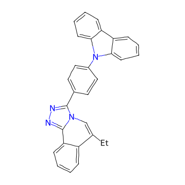 CCc1cn2c(-c3ccc(-n4c5ccccc5c5ccccc54)cc3)nnc2c2ccccc12